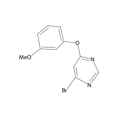 COc1cccc(Oc2cc(Br)ncn2)c1